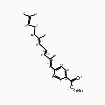 CCCCOC(=O)c1ccc(/C=C(C)/C=C/C=C(\C)CCC=C(C)C)cc1